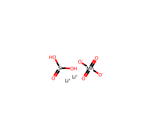 O=[Si](O)O.[Li+].[Li+].[O]=[Mn](=[O])([O-])[O-]